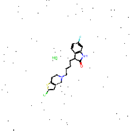 Cl.O=C1Nc2cc(F)ccc2C1CCCCN1CCc2sc(Cl)cc2C1